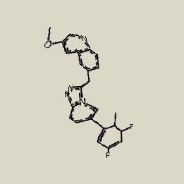 COc1cnc2ccc(Cc3nnc4ccc(C5=CC(F)=CC(F)C5C)cn34)cc2c1